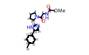 COC(=O)NCC(=O)N1CCC[C@H]1c1ncc(-c2ccc(C)cc2)[nH]1